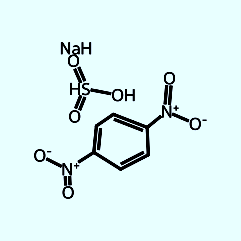 O=[N+]([O-])c1ccc([N+](=O)[O-])cc1.O=[SH](=O)O.[NaH]